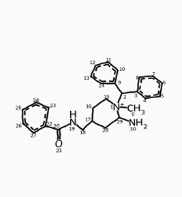 C[N+]1(C(c2ccccc2)c2ccccc2)CCC(CNC(=O)c2ccccc2)CC1N